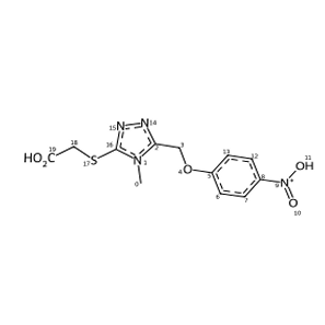 Cn1c(COc2ccc([N+](=O)O)cc2)nnc1SCC(=O)O